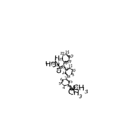 CN(C)c1cccc(-c2cccc(C(C(=O)NO)c3ccccc3)c2)c1